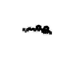 COCCOc1cccc(-c2c[nH]c3c(C#N)cccc23)n1